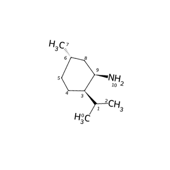 CC(C)[C@H]1CC[C@H](C)C[C@H]1N